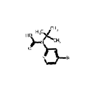 CC(C)(C)N(C(=O)O)c1cc(Br)ccn1